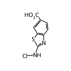 O=C(O)c1ccc2nc(NCl)sc2c1